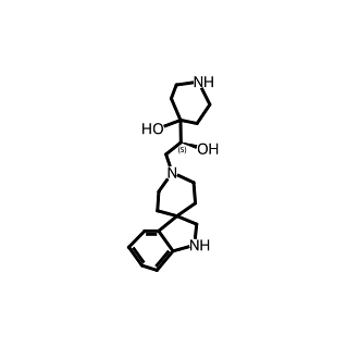 O[C@@H](CN1CCC2(CC1)CNc1ccccc12)C1(O)CCNCC1